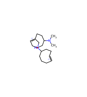 CN(C)C1CCC/C=C(\CNC2CC/C=C/CCC2)CC1